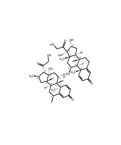 C[C@@H]1C[C@H]2[C@@H]3C[C@H](F)C4=CC(=O)C=C[C@]4(C)[C@H]3[C@@H](O)C[C@]2(C)[C@H]1C(=O)CO.C[C@]12C=CC(=O)C=C1CC[C@H]1[C@@H]3C[C@@H](O)[C@](O)(C(=O)CO)[C@@]3(C)C[C@H](O)[C@@]12F